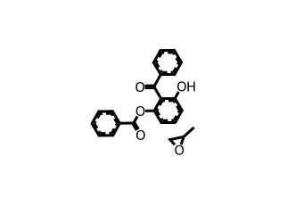 CC1CO1.O=C(Oc1cccc(O)c1C(=O)c1ccccc1)c1ccccc1